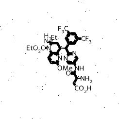 CCOC(=O)N1c2ccc(OC)nc2[C@H](C(c2cc(C(F)(F)F)cc(C(F)(F)F)c2)c2ncc(NC(=O)[C@@H](N)CC(=O)O)cn2)C[C@@]1(N)CC